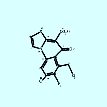 CCOC(=O)c1c(=O)c2c(CCl)c(F)c(Cl)cc2n2ccsc12